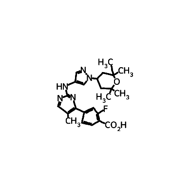 Cc1cnc(Nc2cnn(C3CC(C)(C)OC(C)(C)C3)c2)nc1-c1ccc(C(=O)O)c(F)c1